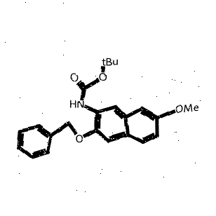 COc1ccc2cc(OCc3ccccc3)c(NC(=O)OC(C)(C)C)cc2c1